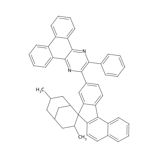 CC1CC2CC(C)C3(c4cc(-c5nc6c7ccccc7c7ccccc7c6nc5-c5ccccc5)ccc4-c4c3ccc3ccccc43)C(C1)C2